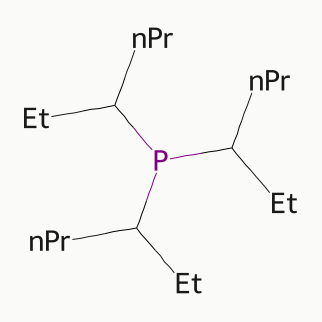 CCCC(CC)P(C(CC)CCC)C(CC)CCC